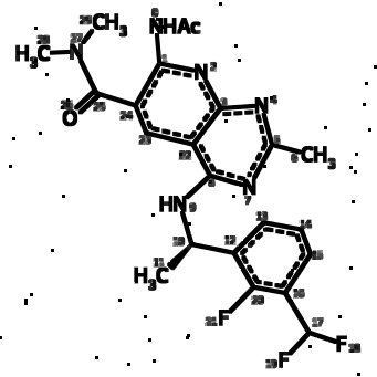 CC(=O)Nc1nc2nc(C)nc(N[C@H](C)c3cccc(C(F)F)c3F)c2cc1C(=O)N(C)C